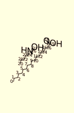 CCCCCCCCCCCCCCCCCC(=O)O.CCCCCNCO